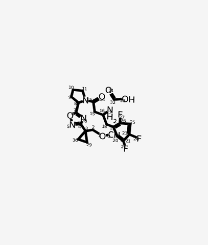 COCC1(c2noc(C3CCCN3C(=O)CC(N)Cc3cc(F)c(F)cc3F)n2)CC1.O=CO